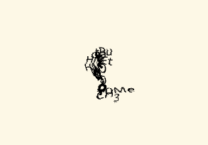 CC[C@@H](NC(=O)OC(C)(C)C)C(=O)Nc1cc(Oc2ccc(C)c(OC)c2)ccn1